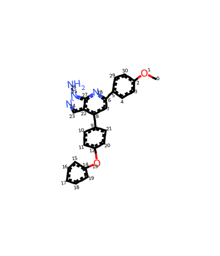 COc1ccc(-c2cc(-c3ccc(Oc4ccccc4)cc3)c3cnn(N)c3n2)cc1